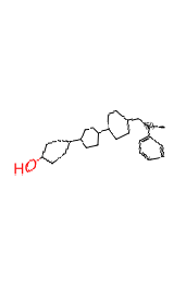 C[C@H](CC1CCC(C2CCC(C3CCC(O)CC3)CC2)CC1)c1ccccc1